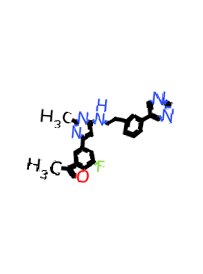 Cc1nc(NCCc2cccc(-c3cncnc3)c2)cc(-c2cc(F)c3occ(C)c3c2)n1